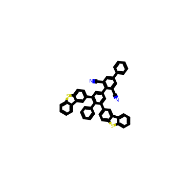 N#Cc1cc(-c2ccccc2)cc(C#N)c1-c1cc(-c2ccc3sc4ccccc4c3c2)c(-c2ccccc2)c(-c2ccc3sc4ccccc4c3c2)c1